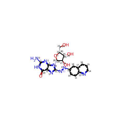 Nc1nc2c(nc(/N=N/c3ccc4ncccc4c3)n2[C@@H]2O[C@H](CO)[C@H](O)C2O)c(=O)[nH]1